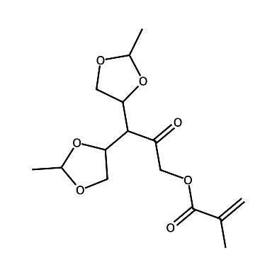 C=C(C)C(=O)OCC(=O)C(C1COC(C)O1)C1COC(C)O1